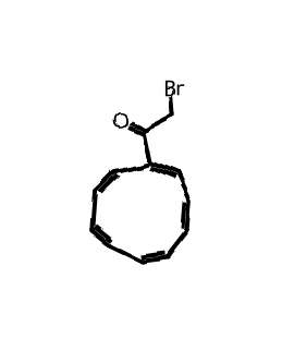 O=C(CBr)c1ccccccccc1